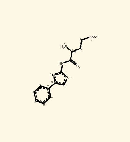 CSCC[C@H](N)C(=O)Nc1nc(-c2ccccc2)cs1